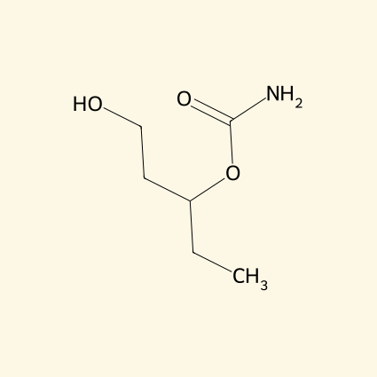 CCC(CCO)OC(N)=O